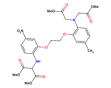 COC(=O)CN(CC(=O)OC)c1ccc(C)cc1OCCOc1cc([N+](=O)[O-])ccc1NC(C(=O)OC)C(=O)OC